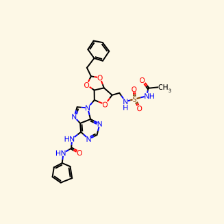 CC(=O)NS(=O)(=O)NCC1OC(n2cnc3c(NC(=O)Nc4ccccc4)ncnc32)C2OC(Cc3ccccc3)OC12